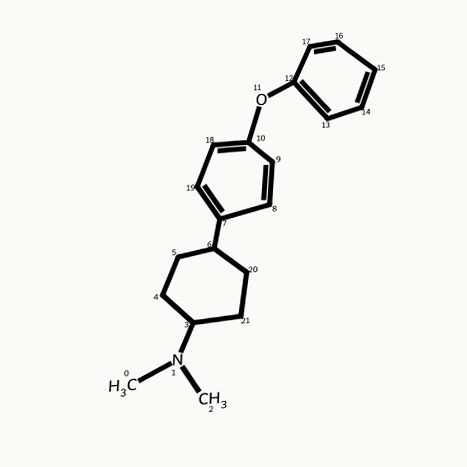 CN(C)C1CCC(c2ccc(Oc3ccccc3)cc2)CC1